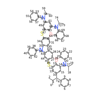 CC(C)C(c1ccccc1)c1cc2c3c(c1)N(C(C)C)c1ccccc1B3c1cc3c4cc5c(cc4n(-c4ccccc4)c3cc1S2)Sc1cc(N(c2ccccc2)C(C)C)cc2c1B5c1ccccc1N2C(C)C